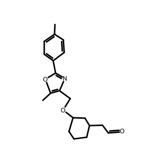 Cc1ccc(-c2nc(COC3CCCC(CC=O)C3)c(C)o2)cc1